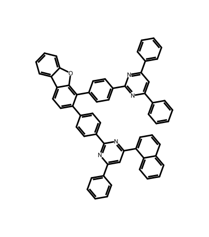 c1ccc(-c2cc(-c3ccccc3)nc(-c3ccc(-c4c(-c5ccc(-c6nc(-c7ccccc7)cc(-c7cccc8ccccc78)n6)cc5)ccc5c4oc4ccccc45)cc3)n2)cc1